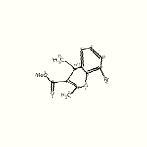 COC(=O)C1=C(C)Oc2c(Br)cccc2C1C